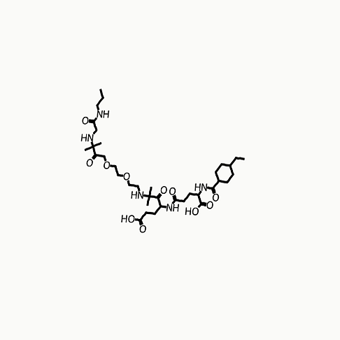 CCCNC(=O)CNC(C)(C)C(=O)COCCOCCNC(C)(C)C(=O)C(CCC(=O)O)NC(=O)CCC(NC(=O)C1CCC(CC)CC1)C(=O)O